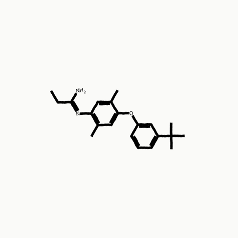 CCC(N)=Nc1cc(C)c(Oc2cccc(C(C)(C)C)c2)cc1C